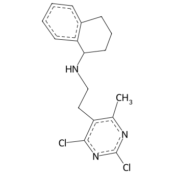 Cc1nc(Cl)nc(Cl)c1CCNC1CCCc2ccccc21